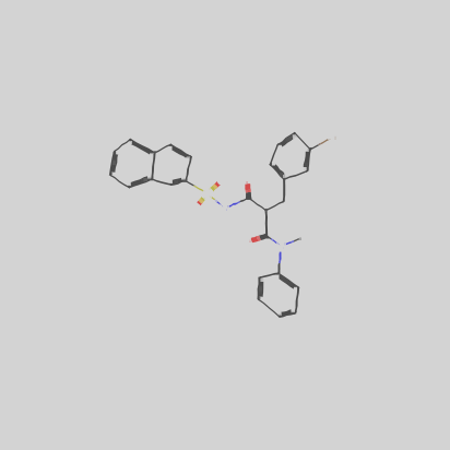 CCN(C(=O)C(Cc1cccc(Br)c1)C(=O)NS(=O)(=O)c1ccc2ccccc2c1)c1ccccc1